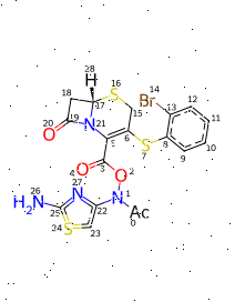 CC(=O)N(OC(=O)C1=C(Sc2ccccc2Br)CS[C@H]2CC(=O)N12)c1csc(N)n1